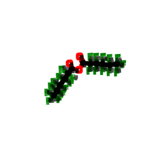 O=C(OC(=O)C(F)(F)C(F)(F)C(F)(F)C(F)(F)C(F)(F)F)C(F)(F)C(F)(F)C(F)(F)C(F)(F)C(F)(F)F